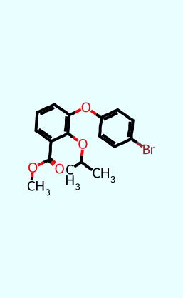 COC(=O)c1cccc(Oc2ccc(Br)cc2)c1OC(C)C